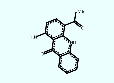 COC(=O)c1ccc(N)c2c(=O)c3ccccc3[nH]c12